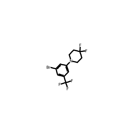 FC1(F)CCN(c2cc(Br)cc(C(F)(F)F)c2)CC1